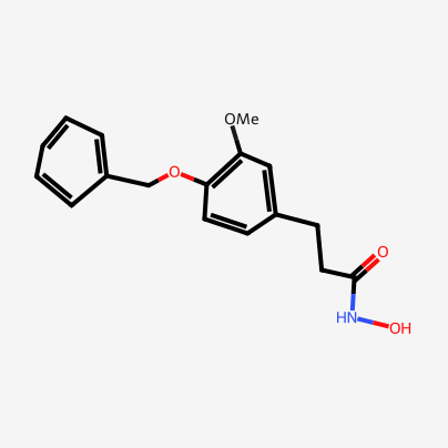 COc1cc(CCC(=O)NO)ccc1OCc1ccccc1